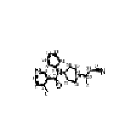 Cc1ccncc1C(=O)N(c1ccccc1)C1CCN([C@H](C)CC#N)CC1